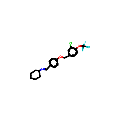 FC(F)(F)Oc1ccc(COc2ccc(/C=N/C3CCCCC3)cc2)cc1Cl